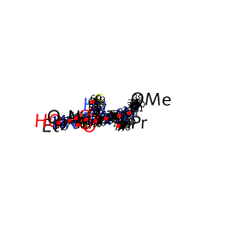 CC[C@]1(O)CC[C@H](CNc2ccc(S(=O)(=O)NC(=O)c3ccc(N4CCC5(CC4)CC(N4CCN(Cc6ccc(OC)cc6)CC4c4ccccc4C(C)C)C5)cc3Oc3cnc4sccc4c3)cc2[N+](=O)[O-])CC1